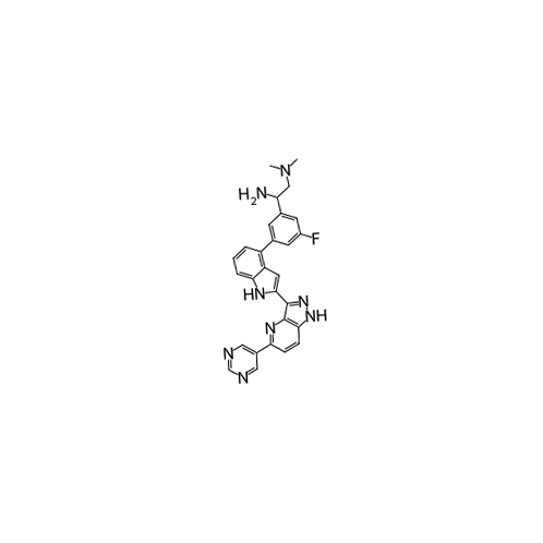 CN(C)CC(N)c1cc(F)cc(-c2cccc3[nH]c(-c4n[nH]c5ccc(-c6cncnc6)nc45)cc23)c1